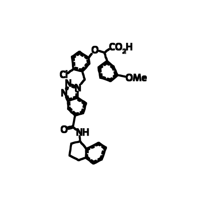 COc1cccc(C(Oc2ccc(Cl)c(Cn3nnc4cc(C(=O)NC5CCCc6ccccc65)ccc43)c2)C(=O)O)c1